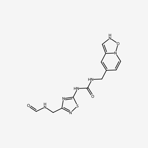 O=CNCc1nsc(NC(=O)NCC2=CC3=CNON3C=C2)n1